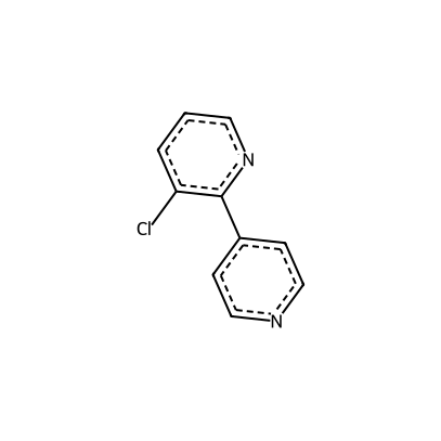 Clc1cccnc1-c1ccncc1